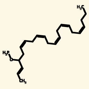 C/C=C/C(C/C=C\C/C=C\C/C=C\C/C=C\C/C=C\CCC)OP